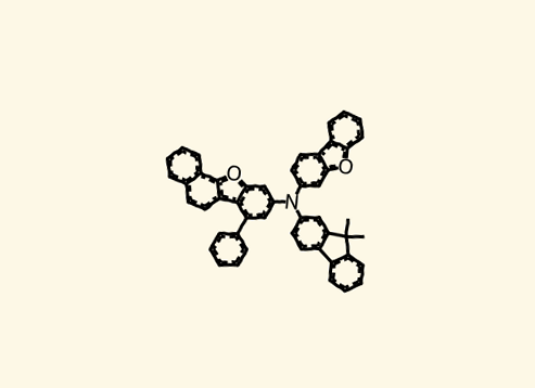 CC1(C)c2ccccc2-c2ccc(N(c3ccc4c(c3)oc3ccccc34)c3cc(-c4ccccc4)c4c(c3)oc3c5ccccc5ccc34)cc21